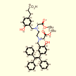 CC(C)(C)OC(=O)CN(CCN(CC(=O)OC(C)(C)C)Cc1cc(C(=C(c2ccccc2)c2ccccc2)c2ccccc2)ccc1O)Cc1cc(CCC(=O)O)ccc1O